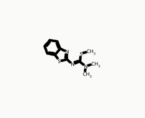 CS/C(=N\c1nc2ccccc2s1)N(C)C